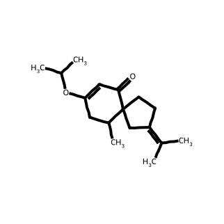 CC(C)=C1CCC2(C1)C(=O)C=C(OC(C)C)CC2C